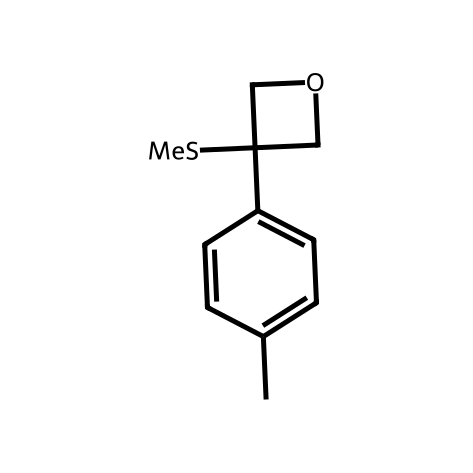 CSC1(c2ccc(C)cc2)COC1